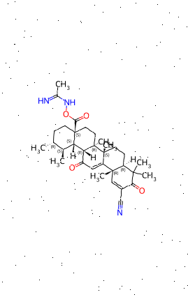 CC(=N)NOC(=O)[C@]12CC[C@@H](C)[C@H](C)[C@H]1[C@H]1C(=O)C=C3[C@@]4(C)C=C(C#N)C(=O)C(C)(C)[C@@H]4CC[C@@]3(C)[C@]1(C)CC2